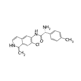 C=C1NC=Cc2cc(NC(=O)[C@H](N)c3ccc(C)cc3)c(Cl)cc21